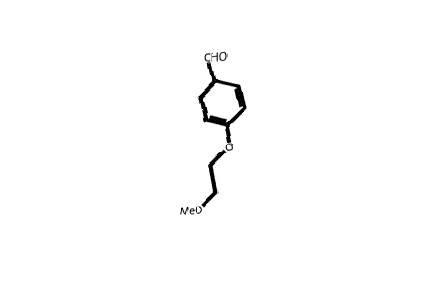 COCCOC1=CCC(C=O)C=C1